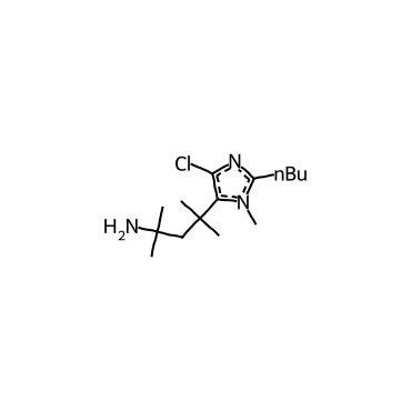 CCCCc1nc(Cl)c(C(C)(C)CC(C)(C)N)n1C